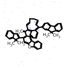 C=C(C1=c2\cccc\c2=C(c2ccc3c(c2)C(C)(C)c2ccccc2-3)\C=C\CC\C=C\1)c1cc2c(cc1C1=Cc3ccccc3C1(C)C)oc1ccccc12